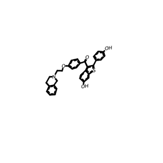 O=C(c1ccc(OCCN2CCc3ccccc3C2)cc1)c1c(-c2ccc(O)cc2)sc2cc(O)ccc12